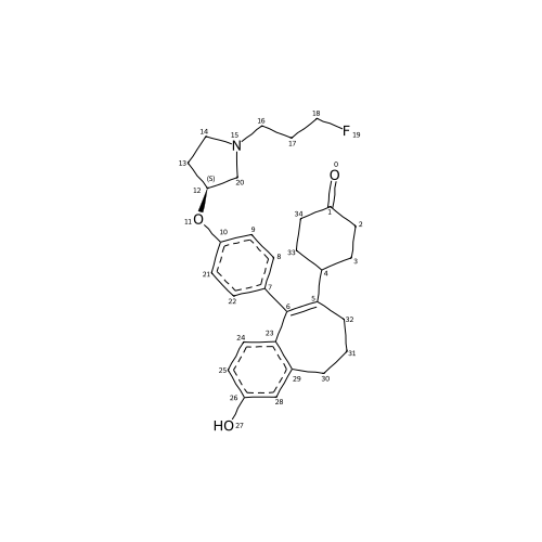 O=C1CCC(C2=C(c3ccc(O[C@H]4CCN(CCCF)C4)cc3)c3ccc(O)cc3CCC2)CC1